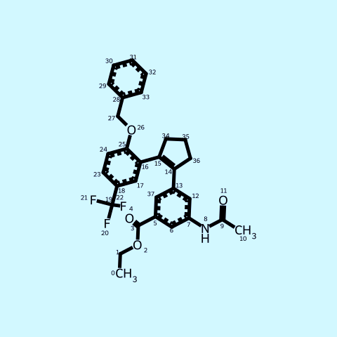 CCOC(=O)c1cc(NC(C)=O)cc(C2=C(c3cc(C(F)(F)F)ccc3OCc3ccccc3)CCC2)c1